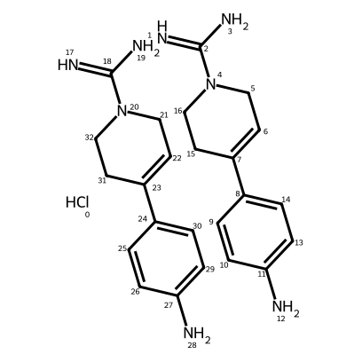 Cl.N=C(N)N1CC=C(c2ccc(N)cc2)CC1.N=C(N)N1CC=C(c2ccc(N)cc2)CC1